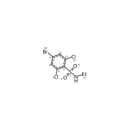 CCNS(=O)(=O)c1c(Cl)cc(Br)cc1Cl